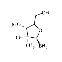 B[C@@H]1OC(CO)[C@@H](OC(C)=O)[C@]1(C)Cl